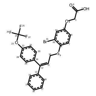 O=C(O)COc1ccc(SCC=C(c2ccccc2)c2ccc(OC(F)(F)F)cc2)c(Br)c1